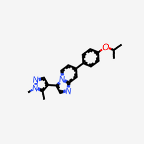 Cc1c(-c2cnc3cc(-c4ccc(OC(C)C)cc4)ccn23)cnn1C